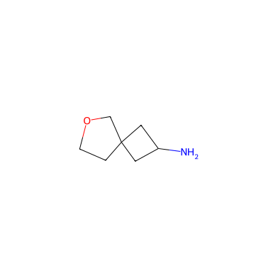 NC1CC2(CCOC2)C1